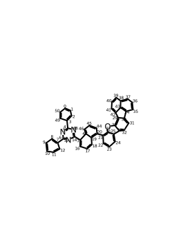 c1ccc(-c2nc(-c3ccccc3)nc(-c3cccc4c(-c5cccc6c5oc5c7c(ccc56)-c5cccc6cccc-7c56)cccc34)n2)cc1